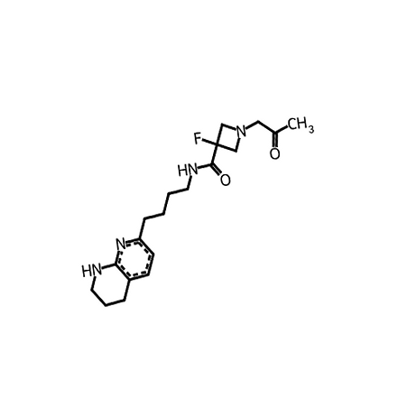 CC(=O)CN1CC(F)(C(=O)NCCCCc2ccc3c(n2)NCCC3)C1